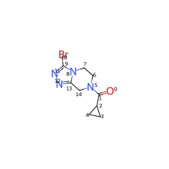 O=C(C1CC1)N1CCn2c(Br)nnc2C1